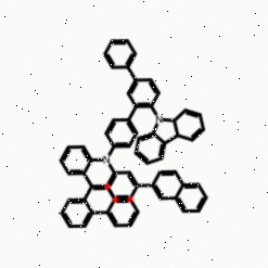 C1=CC2c3ccccc3N(c3ccc(-c4ccccc4)cc3-c3ccc(N(c4cccc(-c5ccc6ccccc6c5)c4)c4ccccc4-c4cc5ccccc5c5ccccc45)cc3)C2C=C1